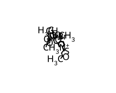 CCOP(=O)(OCC)C(Cc1ccc[n+](C(=S)CC(C)=O)c1)P(=O)(OCC)OCC.[Br-]